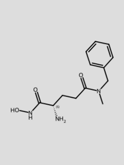 CN(Cc1ccccc1)C(=O)CC[C@H](N)C(=O)NO